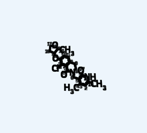 Cc1cc(C)c(CN2CCc3ccc(O[C@H]4CCO[C@H]4C)c(Cl)c3C2=O)c(=O)[nH]1